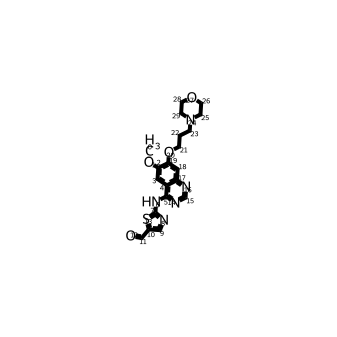 COc1cc2c(Nc3ncc(C=O)s3)ncnc2cc1OCCCN1CCOCC1